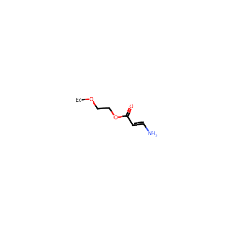 CCOCCOC(=O)C=CN